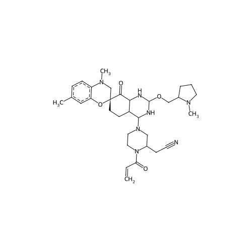 C=CC(=O)N1CCN(C2NC(OCC3CCCN3C)NC3C(=O)[C@@]4(CCC32)CN(C)c2ccc(C)cc2O4)CC1CC#N